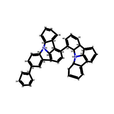 C1=CCC2C(=C1)c1cccc3c1N2C1C(c2ccc4c5cc(-c6ccccc6)ccc5n5c6ccccc6c2c45)=CC=CC31